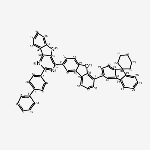 c1ccc(-c2ccc(-c3nc(-c4ccc5oc6c(-c7ccc8c(c7)-c7ccccc7C87CCCCC7)cccc6c5c4)c4sc5ccccc5c4n3)cc2)cc1